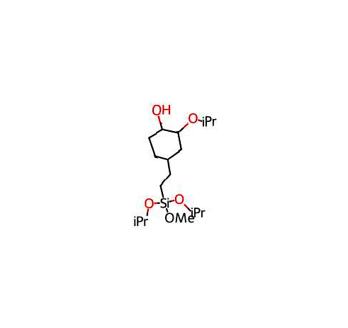 CO[Si](CCC1CCC(O)C(OC(C)C)C1)(OC(C)C)OC(C)C